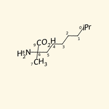 CC(C)CCCCCC(C)(N)C(=O)O